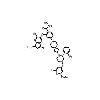 C=C1C=C(F)c2cc(Oc3cc(N4CCC5(CC4)CC(N4CCN(Cc6cc(F)nc(OC)c6)C[C@H]4c4ccccc4C(C)C)C5)ccc3C(=O)NO)c(CC)nc21